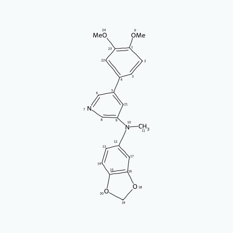 COc1ccc(-c2cncc(N(C)c3ccc4c(c3)OCO4)c2)cc1OC